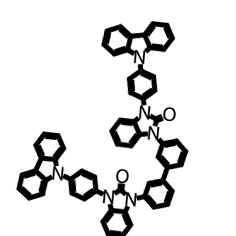 O=c1n(-c2ccc(-n3c4ccccc4c4ccccc43)cc2)c2ccccc2n1-c1cccc(-c2cccc(-n3c(=O)n(-c4ccc(-n5c6ccccc6c6ccccc65)cc4)c4ccccc43)c2)c1